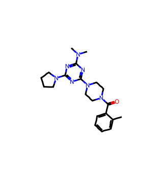 Cc1ccccc1C(=O)N1CCN(c2nc(N(C)C)nc(N3CCCC3)n2)CC1